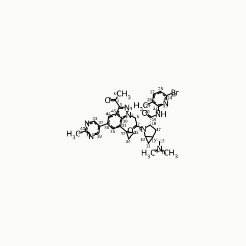 CC(=O)c1nn(CC(=O)N2C3C[C@]3(CN(C)C)C[C@H]2C(=O)Nc2nc(Br)ccc2C)c2c(C3CC3)cc(-c3cnc(C)nc3)cc12